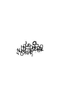 CC[C@H](C)[C@@H]([C@@H](CC(=O)N1CCC[C@H]1[C@H](OC)[C@@H](C)C(=O)N[C@@H](Cc1ccccc1)C(=O)OC(C)(C)C)OC)N(C)C(=O)[C@@H](NC(=O)[C@H](C(C)C)N(C)C)[C@H](C)N